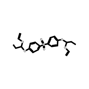 C=COC(CC)Oc1ccc(S(=O)(=O)c2ccc(OC(CC)OC=C)cc2)cc1